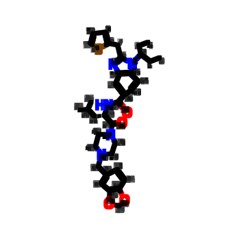 CCC(CC)n1c(Cc2cccs2)nc2cc(C(=O)N[C@@H](CC(C)C)C(=O)N3CCN(Cc4ccc5c(c4)OCO5)CC3)ccc21